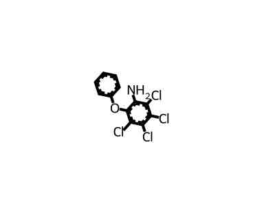 Nc1c(Cl)c(Cl)c(Cl)c(Cl)c1Oc1ccccc1